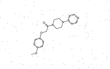 COc1ccc(OCC(=O)N2CCN(c3ccncc3)CC2)cc1